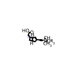 C[Si](C)(C)C#CC1=C[C@H]2/C(=C\C(=O)O)C[C@H]2C1